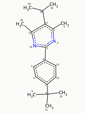 Cc1nc(-c2ccc(C(C)(C)C)cc2)nc(C)c1C(C)C